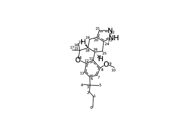 CCCC(C)(C)c1cc(OC)c2c(c1)OC(C)(C)[C@@H]1Cc3cn[nH]c3C[C@@H]21